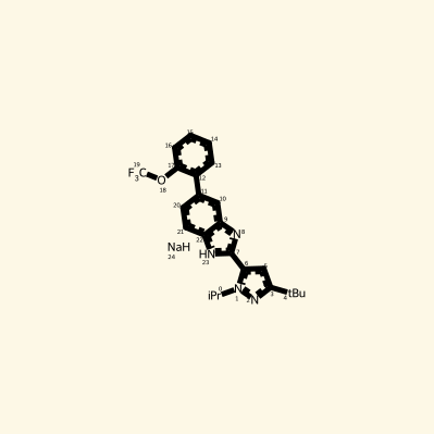 CC(C)n1nc(C(C)(C)C)cc1-c1nc2cc(-c3ccccc3OC(F)(F)F)ccc2[nH]1.[NaH]